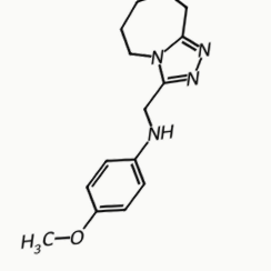 COc1ccc(NCc2nnc3n2CCCCC3)cc1